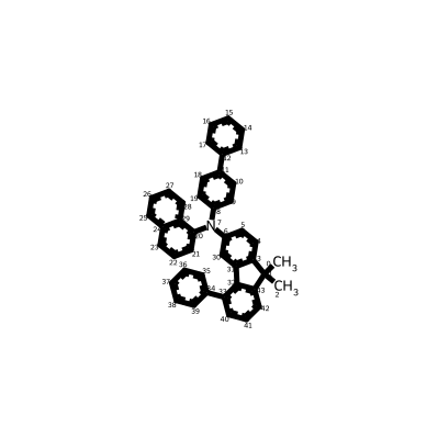 CC1(C)c2ccc(N(c3ccc(-c4ccccc4)cc3)c3cccc4ccccc34)cc2-c2c(-c3ccccc3)cccc21